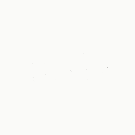 Cc1ccncc1N1CCN(c2ccc(F)c(/C=N/O)c2)C1=O